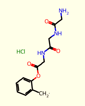 Cl.[CH2]c1ccccc1OC(=O)CNC(=O)CNC(=O)CN